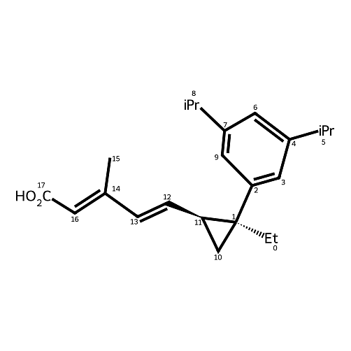 CC[C@]1(c2cc(C(C)C)cc(C(C)C)c2)C[C@H]1/C=C/C(C)=C/C(=O)O